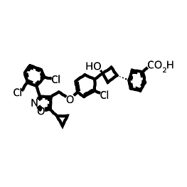 O=C(O)c1cccc([C@H]2C[C@@](O)(C3CC=C(OCc4c(-c5c(Cl)cccc5Cl)noc4C4CC4)C=C3Cl)C2)c1